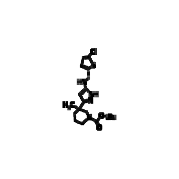 CC(C)(C)OC(=O)N1CCCC(C)(c2cc(NCc3ccc(Cl)s3)[nH]n2)C1